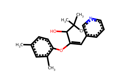 Cc1ccc(O/C(=C/c2cccnc2)C(O)C(C)(C)C)c(C)c1